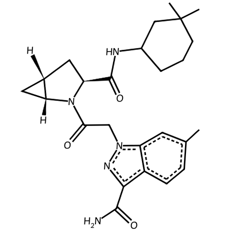 Cc1ccc2c(C(N)=O)nn(CC(=O)N3[C@@H]4C[C@@H]4C[C@H]3C(=O)NC3CCCC(C)(C)C3)c2c1